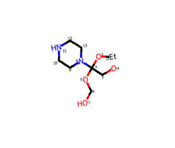 CCOC(C[O])(OCO)N1CCNCC1